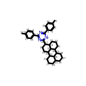 Cc1ccc(-c2nc(-c3ccc(C)cc3)nc(C3CCC4C5CCCC6CCCC(C7CCCC3C74)C65)n2)cc1